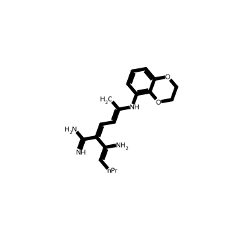 CCC/C=C(N)/C(=C\C=C(/C)Nc1cccc2c1OCCO2)C(=N)N